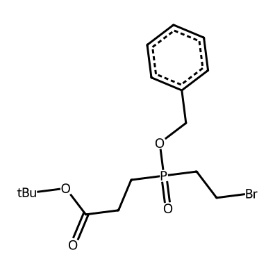 CC(C)(C)OC(=O)CCP(=O)(CCBr)OCc1ccccc1